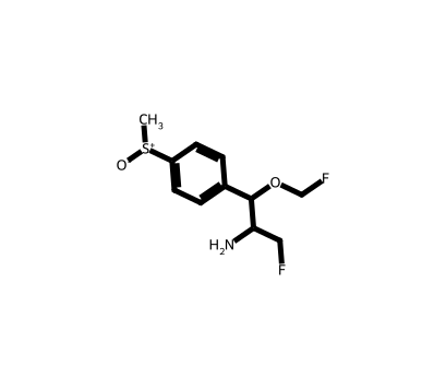 C[S+]([O-])c1ccc(C(OCF)C(N)CF)cc1